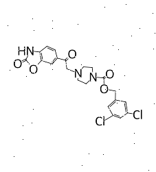 O=C(CN1CCN(C(=O)OCc2cc(Cl)cc(Cl)c2)CC1)c1ccc2[nH]c(=O)oc2c1